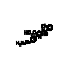 NCOCC1CCN(c2ncc(NC(=O)c3ccccc3Cl)cc2C(=O)O)CC1